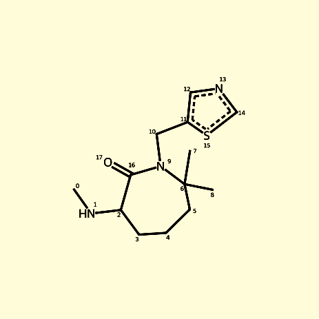 CNC1CCCC(C)(C)N(Cc2cncs2)C1=O